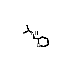 CC(C)NCC1CCCCO1